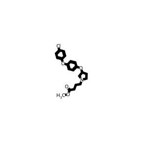 COC(=O)CCCN1CCC(Oc2ccc(Oc3ccc(Cl)cc3)cc2)C1